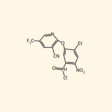 CCc1cc([N+](=O)[O-])c([PH](=O)Cl)cc1Oc1ncc(C(F)(F)F)cc1C#N